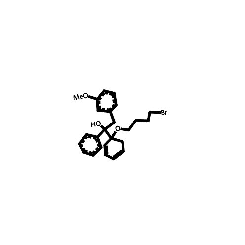 COc1cccc(CC(O)(c2ccccc2)C2(OCCCCBr)C=CC=CC2)c1